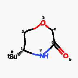 CC(C)(C)[C@@H]1COCC(=O)N1